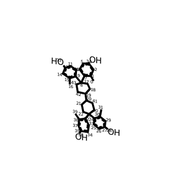 Cc1cc(O)ccc1C1(c2ccc(O)cc2C)CCC(C2CCC(c3ccc(O)cc3C)(c3ccc(O)cc3C)CC2)CC1